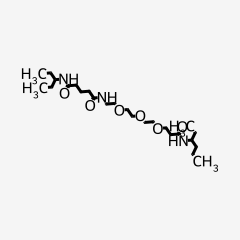 CCCC(CC)NC(=O)CCOCCOCCOCCNC(=O)CCCC(=O)NC(CC)CC